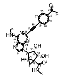 CNC(=O)[C@@]12C[C@@H]1[C@@H](n1cnc3c(NC)nc(C#Cc4ccc(C(C)=O)cc4)nc31)[C@H](O)[C@@H]2O